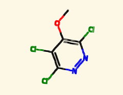 COc1c(Cl)nnc(Cl)c1Cl